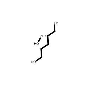 CC(C)CCCCCO.CCCCCCO